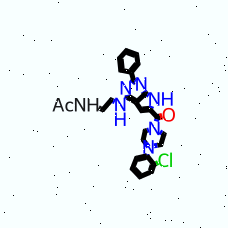 CC(=O)NCCNc1nc(-c2ccccc2)nc2[nH]c(C(=O)N3CCN(c4ccccc4Cl)CC3)cc12